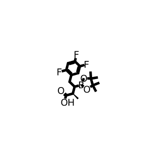 C[C@@H](C(=O)O)C(Cc1cc(F)c(F)cc1F)B1OC(C)(C)C(C)(C)O1